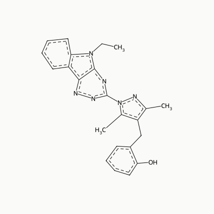 CCn1c2ccccc2c2nnc(-n3nc(C)c(Cc4ccccc4O)c3C)nc21